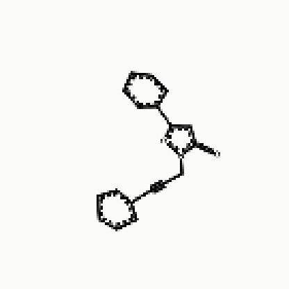 O=c1cc(-c2ccccc2)on1CC#Cc1ccccc1